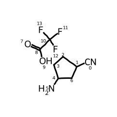 N#CC1CCC(N)C1.O=C(O)C(F)(F)F